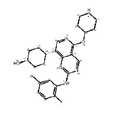 Cc1ccc(Cl)cc1Nc1ncc2c(OC3CCNCC3)ncc([C@H]3CC[C@H](O)CC3)c2n1